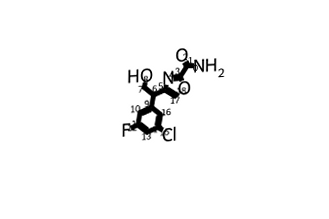 NC(=O)c1nc(C(CO)c2cc(F)cc(Cl)c2)co1